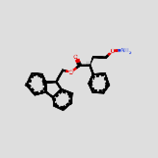 NOCC[C@H](C(=O)OCC1c2ccccc2-c2ccccc21)c1ccccc1